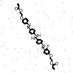 C=CC(=O)OCCOc1ccc(/N=N/c2ccc(NNc3ccc(/N=N/c4ccc(OCCOC(=O)C=C)cc4F)cc3)cc2)cc1